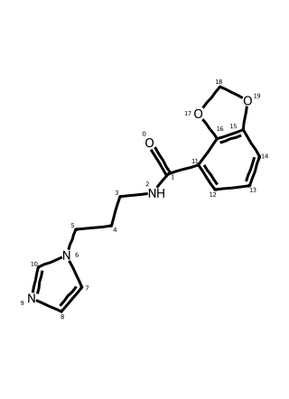 O=C(NCCCn1ccnc1)c1cccc2c1OCO2